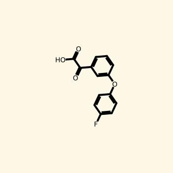 O=C(O)C(=O)c1cccc(Oc2ccc(F)cc2)c1